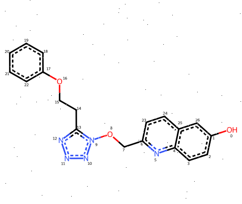 Oc1ccc2nc(COn3nnnc3CCOc3ccccc3)ccc2c1